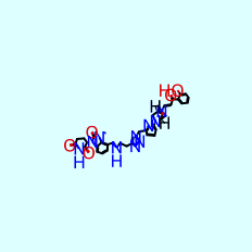 Cn1c(=O)n(C2CCC(=O)NC2=O)c2cccc(CNCCc3cn(Cc4cccc(N5C[C@H]6C[C@@H]5CN6/C=C/C(=O)c5ccccc5O)n4)nn3)c21